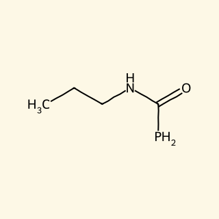 CCCNC(=O)P